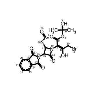 CC(C)(C)OC(=O)C(=C(O)CBr)N1C(=O)C(N2C(=O)c3ccccc3C2=O)C1SC=O